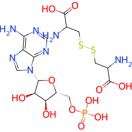 NC(CSSCC(N)C(=O)O)C(=O)O.Nc1ncnc2c1ncn2[C@@H]1O[C@H](COP(=O)(O)O)[C@@H](O)[C@H]1O